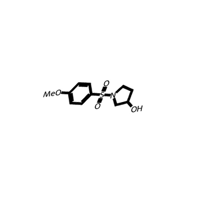 COc1ccc(S(=O)(=O)N2CCC(O)C2)cc1